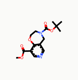 COC(=O)c1cncc2c1OCCN(C(=O)OC(C)(C)C)C2